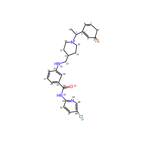 CC(C1=CC(=S)CC=C1)N1CCC(CNc2cccc(C(=O)Nc3ccc(Cl)cn3)c2)CC1